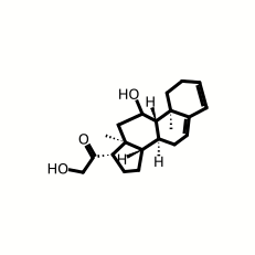 C[C@]12CC(O)[C@H]3[C@@H](CC=C4C=CCC[C@@]43C)[C@@H]1CC[C@@H]2C(=O)CO